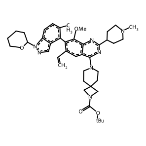 C=Cc1cc2c(N3CCC4(CC3)CN(C(=O)OC(C)(C)C)C4)nc(C3CCN(C)CC3)nc2c(OC)c1-c1c(C)ccc2c1cnn2C1CCCCO1